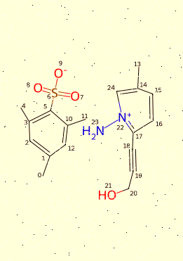 Cc1cc(C)c(S(=O)(=O)[O-])c(C)c1.Cc1ccc(C#CCO)[n+](N)c1